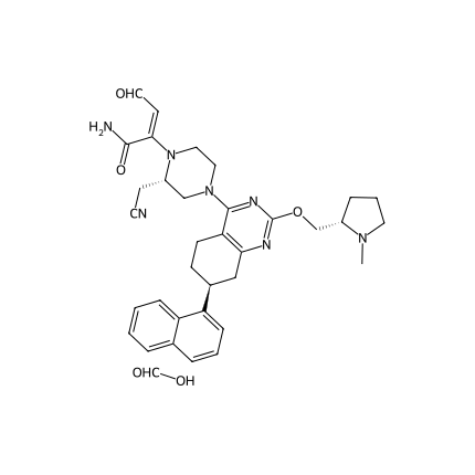 CN1CCC[C@H]1COc1nc2c(c(N3CCN(C(=CC=O)C(N)=O)[C@@H](CC#N)C3)n1)CC[C@H](c1cccc3ccccc13)C2.O=CO